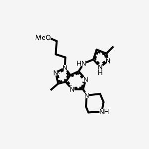 COCCCn1nc(C)c2nc(N3CCNCC3)nc(Nc3cc(C)n[nH]3)c21